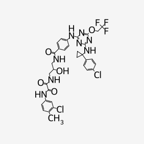 Cc1ccc(NC(=O)C(=O)NCC(O)CNC(=O)c2ccc(Nc3nc(NC4(c5ccc(Cl)cc5)CC4)nc(OCC(F)(F)F)n3)cc2)cc1Cl